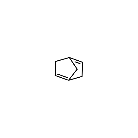 C1=C2CC=C(C1)C2